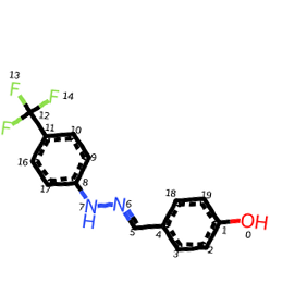 Oc1ccc(C=NNc2ccc(C(F)(F)F)cc2)cc1